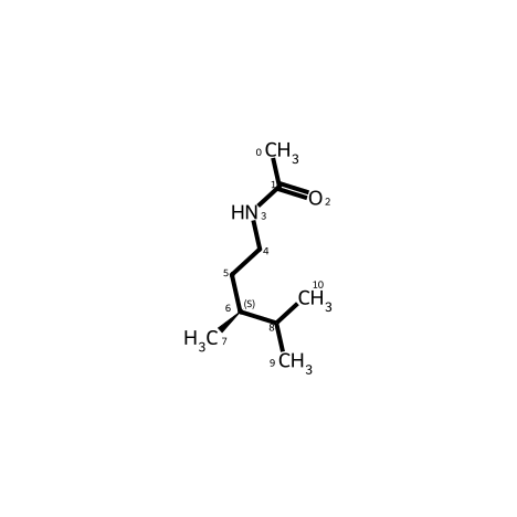 CC(=O)NCC[C@H](C)C(C)C